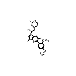 CC[C@@H](CN1C[C@@H](C)O[C@@H](C)C1)n1cc(C)c2nc(-c3ccc(OC(F)(F)F)cc3OC)c(C)cc21